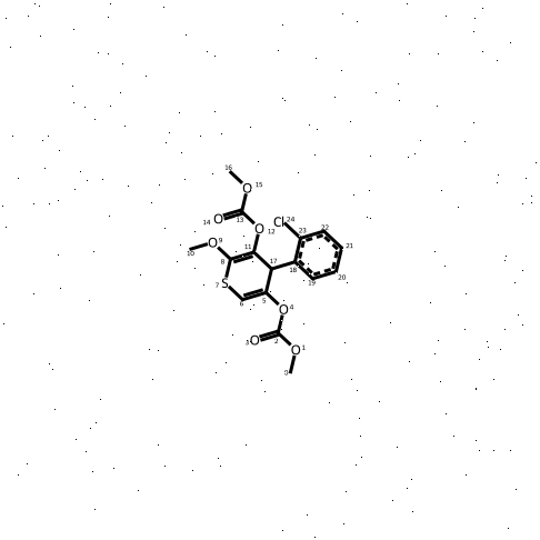 COC(=O)OC1=CSC(OC)=C(OC(=O)OC)C1c1ccccc1Cl